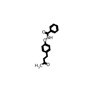 CC(=O)CCc1ccc(ONC(=O)c2ccccc2)cc1